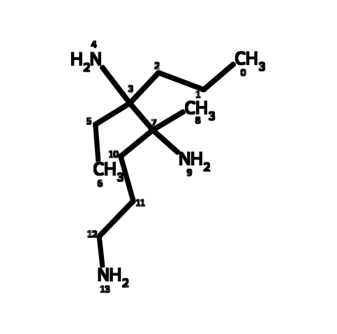 CCCC(N)(CC)C(C)(N)CCCN